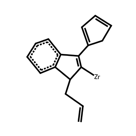 C=CCC1[C]([Zr])=C(C2=CC=CC2)c2ccccc21